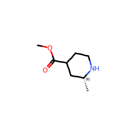 COC(=O)C1CCN[C@H](C)C1